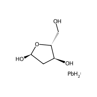 OC[C@H]1O[C@H](O)C[C@@H]1O.[PbH2]